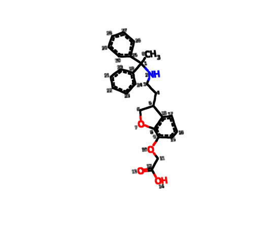 CC(NCCC1COc2c(OCC(=O)O)cccc21)(c1ccccc1)c1ccccc1